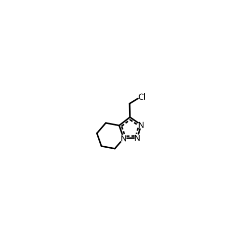 ClCc1nnn2c1CCCC2